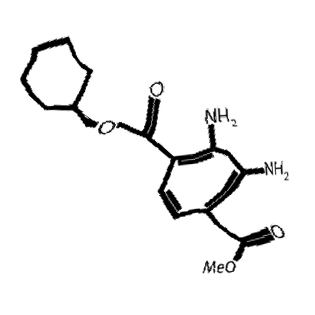 COC(=O)c1ccc(C(=O)OC2CCCCC2)c(N)c1N